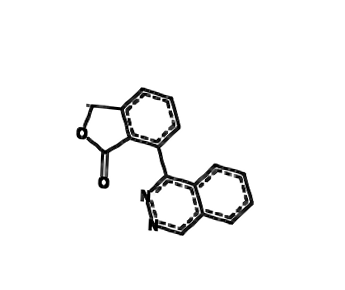 O=C1O[CH]c2cccc(-c3nncc4ccccc34)c21